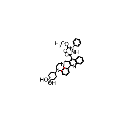 COC(=O)N(NC(=O)c1c(CN2CCN(C3CCS(O)(O)CC3)CC2)c(-c2ccccc2)nc2ccccc12)c1ccccc1